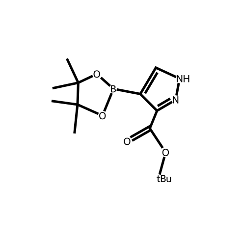 CC(C)(C)OC(=O)c1n[nH]cc1B1OC(C)(C)C(C)(C)O1